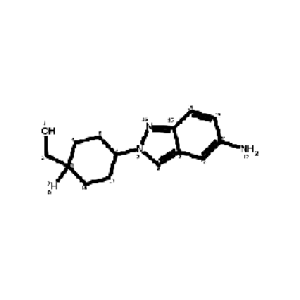 [2H]C1(CO)CCC(n2cc3cc(N)ccc3n2)CC1